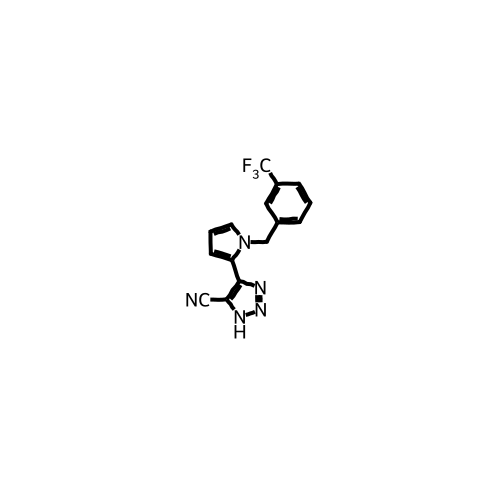 N#Cc1[nH]nnc1-c1cccn1Cc1cccc(C(F)(F)F)c1